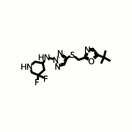 CC(C)(C)c1cnc(CSc2cnn(NC3CNCC(F)(F)C3)n2)o1